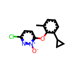 Cc1cccc(C2CC2)c1Oc1ccc(Cl)n[n+]1[O-]